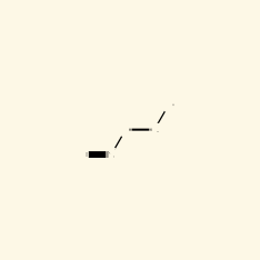 O=NOBO